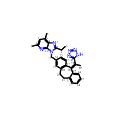 CCc1nc2c(C)cc(C)nc2n1Cc1ccc2c(c1)CCc1ccccc1/C2=C(\C)c1nnn[nH]1